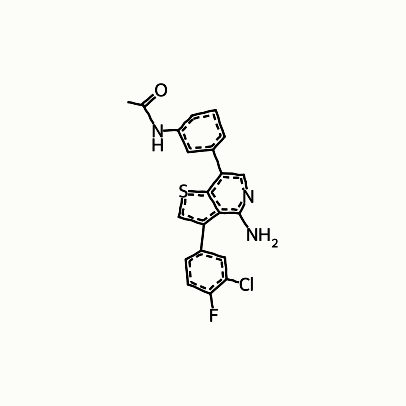 CC(=O)Nc1cccc(-c2cnc(N)c3c(-c4ccc(F)c(Cl)c4)csc23)c1